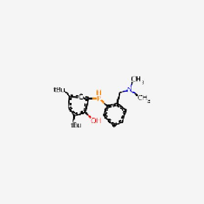 CN(C)Cc1ccccc1Pc1cc(C(C)(C)C)cc(C(C)(C)C)c1O